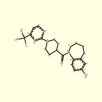 O=C(C1CCN(c2nccc(C(F)(F)F)n2)CC1)N1CCCCc2cc(Cl)ccc21